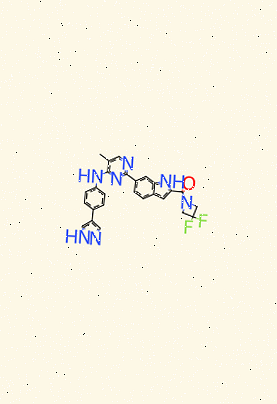 Cc1cnc(-c2ccc3cc(C(=O)N4CC(F)(F)C4)[nH]c3c2)nc1Nc1ccc(-c2cn[nH]c2)cc1